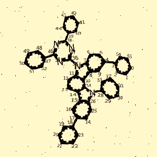 c1ccc(-c2ccc3c(c2)c2c(ccc4c5cc(-c6ccccc6)ccc5n(-c5ccccc5)c42)n3-c2nc(-c3ccccc3)nc(-c3ccccc3)n2)cc1